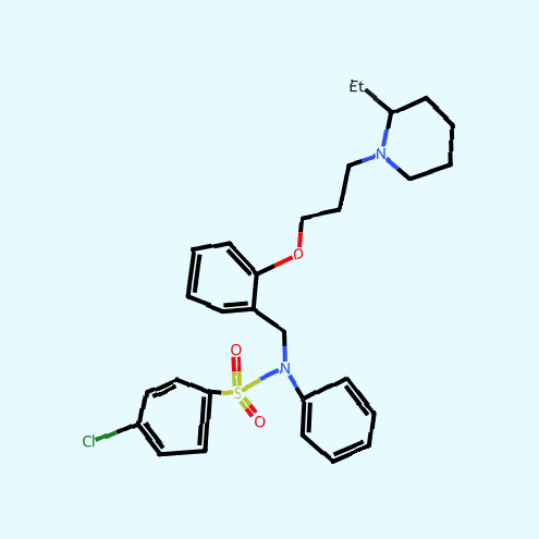 CCC1CCCCN1CCCOc1ccccc1CN(c1ccccc1)S(=O)(=O)c1ccc(Cl)cc1